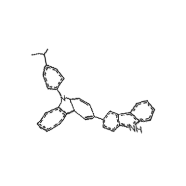 CC(C)c1ccc(N2c3ccccc3C3C=C(c4ccc5[nH]c6ccccc6c5c4)C=CC32)cc1